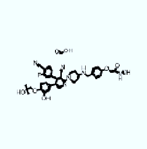 CC(C)(O)COc1ccc(-c2cnc(N3CCC(NCc4ccc(OCC(=O)NO)cc4)CC3)c(C#N)c2-c2ccc(C#N)c(F)c2)cc1O.O=CO